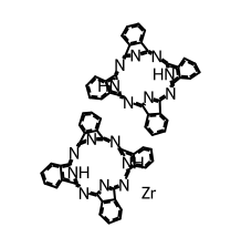 [Zr].c1ccc2c(c1)-c1nc-2nc2[nH]c(nc3nc(nc4[nH]c(n1)c1ccccc41)-c1ccccc1-3)c1ccccc21.c1ccc2c(c1)-c1nc-2nc2[nH]c(nc3nc(nc4[nH]c(n1)c1ccccc41)-c1ccccc1-3)c1ccccc21